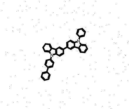 C1=c2c(n(-c3ccc(-c4ccccc4)cc3)c3ccc(-c4ccc5c(c4)c4ccccc4n5-c4ccccc4)cc23)=CCC1